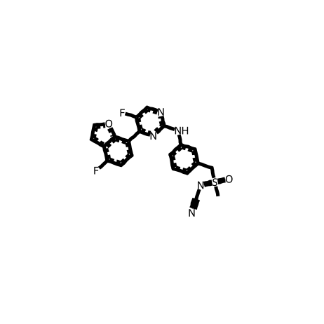 CS(=O)(Cc1cccc(Nc2ncc(F)c(-c3ccc(F)c4ccoc34)n2)c1)=NC#N